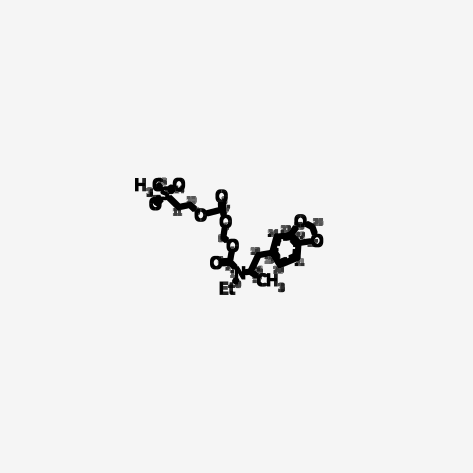 CCN(C(=O)OCOC(=O)OCCS(C)(=O)=O)C(C)Cc1ccc2c(c1)OCO2